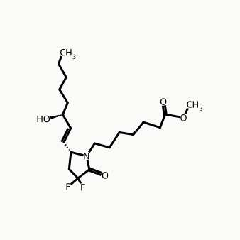 CCCCC[C@H](O)C=C[C@H]1CC(F)(F)C(=O)N1CCCCCCC(=O)OC